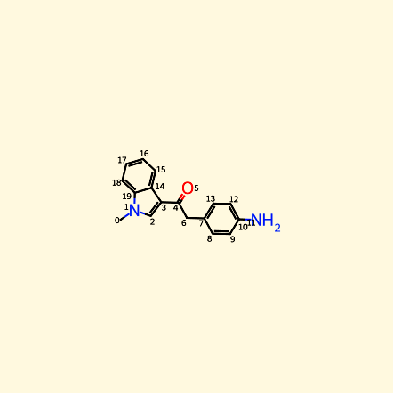 Cn1cc(C(=O)Cc2ccc(N)cc2)c2ccccc21